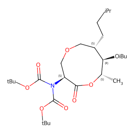 CC(C)CC[C@H]1COC[C@H](N(C(=O)OC(C)(C)C)C(=O)OC(C)(C)C)C(=O)O[C@@H](C)[C@@H]1OCC(C)C